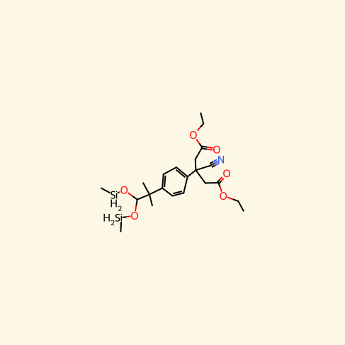 CCOC(=O)CC(C#N)(CC(=O)OCC)c1ccc(C(C)(C)C(O[SiH2]C)O[SiH2]C)cc1